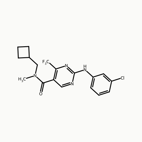 CN(CC1CCC1)C(=O)c1cnc(Nc2cccc(Cl)c2)nc1C(F)(F)F